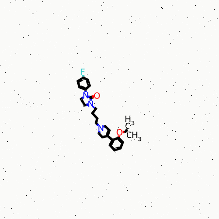 CC(C)Oc1ccccc1C1=CCN(CCCCN2CCN(c3ccc(F)cc3)C2=O)CC1